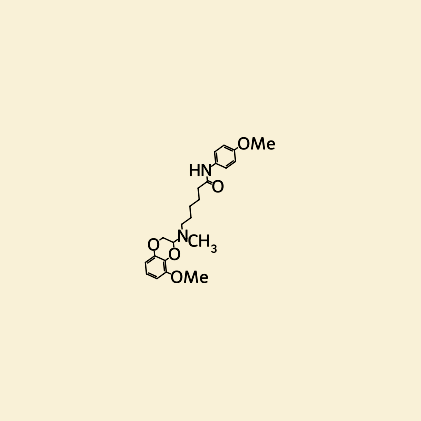 COc1ccc(NC(=O)CCCCCN(C)C2COc3cccc(OC)c3O2)cc1